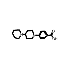 O=C(O)c1ccc(N2CCC(N3CCCCC3)CC2)cc1